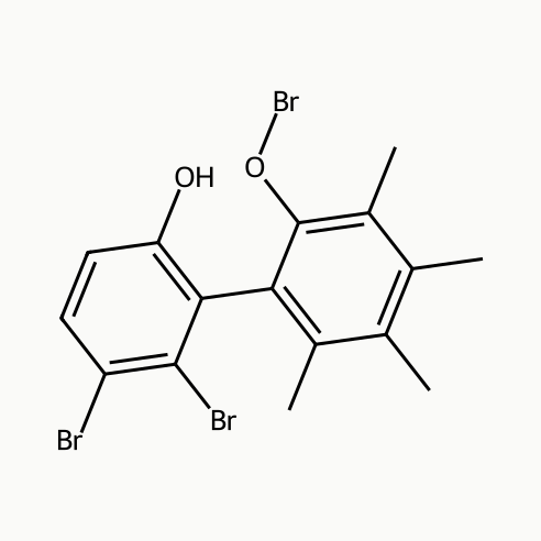 Cc1c(C)c(C)c(-c2c(O)ccc(Br)c2Br)c(OBr)c1C